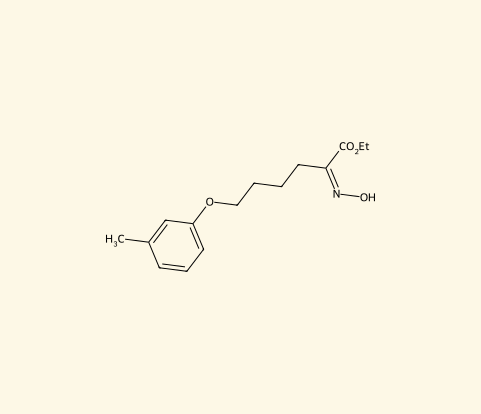 CCOC(=O)C(CCCCOc1cccc(C)c1)=NO